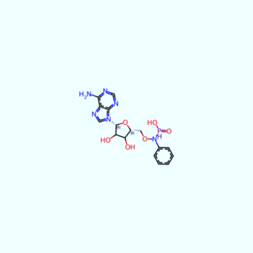 Nc1ncnc2c1ncn2[C@@H]1O[C@H](CON(c2ccccc2)[PH](=O)O)C(O)C1O